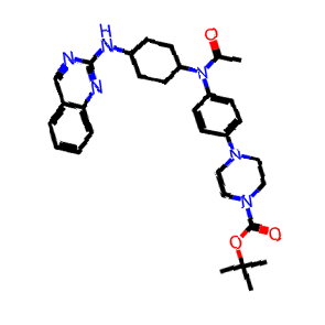 CC(=O)N(c1ccc(N2CCN(C(=O)OC(C)(C)C)CC2)cc1)C1CCC(Nc2ncc3ccccc3n2)CC1